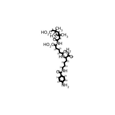 CC(C)(CC(=O)O)CC(C)(C)CC(=O)NC(CCCC(=O)NC(CCCCNC(=O)c1ccc(N)cc1)C(N)=O)C(=O)O